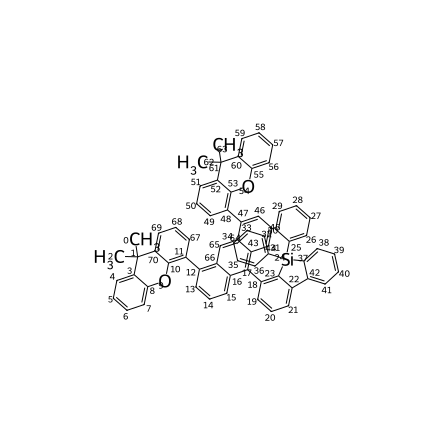 CC1(C)c2ccccc2Oc2c(-c3cccc4c(-c5cccc6c5[Si](c5ccccc5)(c5ccccc5)c5ccccc5-6)c5cccc(-c6cccc7c6Oc6ccccc6C7(C)C)c5cc34)cccc21